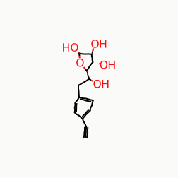 C#Cc1ccc(CC(O)[C@H]2OC(O)[C@@H](O)[C@@H]2O)cc1